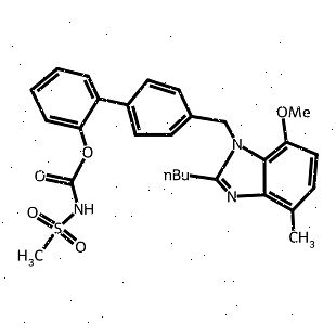 CCCCc1nc2c(C)ccc(OC)c2n1Cc1ccc(-c2ccccc2OC(=O)NS(C)(=O)=O)cc1